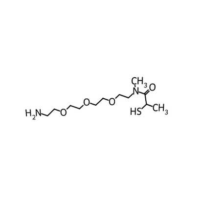 CC(S)C(=O)N(C)CCOCCOCCOCCN